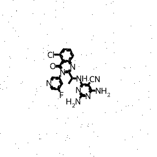 CC(Nc1nc(N)nc(N)c1C#N)c1nc2cccc(Cl)c2c(=O)n1-c1cncc(F)c1